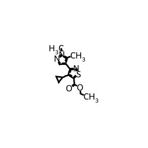 CCOC(=O)c1snc(-c2cnn(C)c2C)c1C1CC1